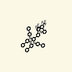 FC(F)(F)c1cc(-c2ccccc2-n2c3ccccc3c3cc(-c4cc5c6c(c4)N(c4ccc(-c7ccccc7)cc4)c4ccc(-c7ccccc7)cc4B6c4cc(-c6ccccc6)ccc4N5c4ccc(-c5ccccc5)cc4)ccc32)cc(C(F)(F)F)c1